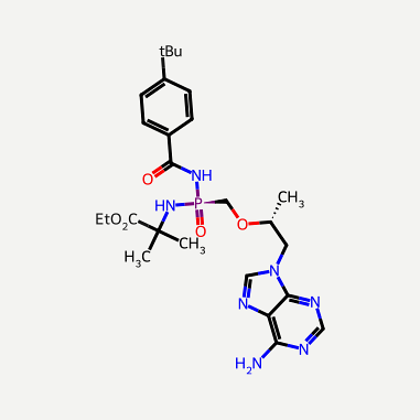 CCOC(=O)C(C)(C)N[P@](=O)(CO[C@H](C)Cn1cnc2c(N)ncnc21)NC(=O)c1ccc(C(C)(C)C)cc1